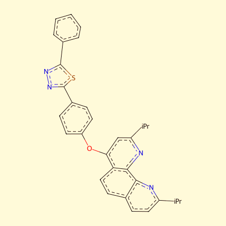 CC(C)c1ccc2ccc3c(Oc4ccc(-c5nnc(-c6ccccc6)s5)cc4)cc(C(C)C)nc3c2n1